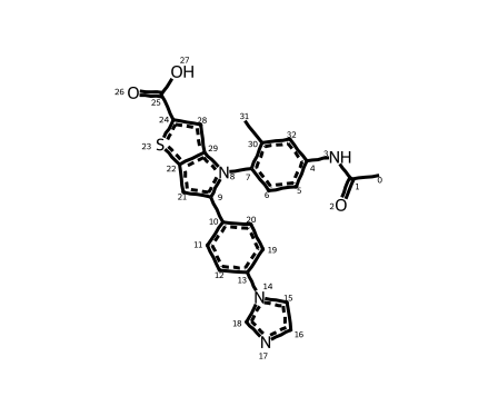 CC(=O)Nc1ccc(-n2c(-c3ccc(-n4ccnc4)cc3)cc3sc(C(=O)O)cc32)c(C)c1